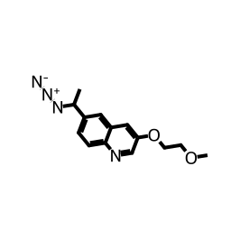 COCCOc1cnc2ccc(C(C)N=[N+]=[N-])cc2c1